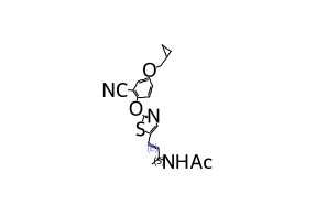 CC(=O)N[C@@H](C)/C=C/c1cnc(Oc2ccc(OCC3CC3)cc2C#N)s1